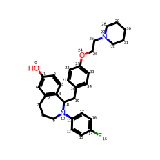 Oc1ccc2c(c1)CCCN(c1ccc(F)cc1)C2Cc1ccc(OCCN2CCCCC2)cc1